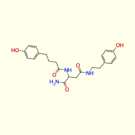 NC(=O)C(CC(=O)NCCc1ccc(O)cc1)NC(=O)CCCc1ccc(O)cc1